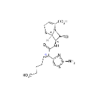 Nc1nc(/C(=C\CCCC(=O)O)C(=O)N[C@@H]2C(=O)N3C(C(=O)O)=CCS[C@H]23)cs1